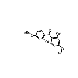 CCCCOc1ccc(C(=O)c2ccc(OC(C)C)cc2O)c(O)c1